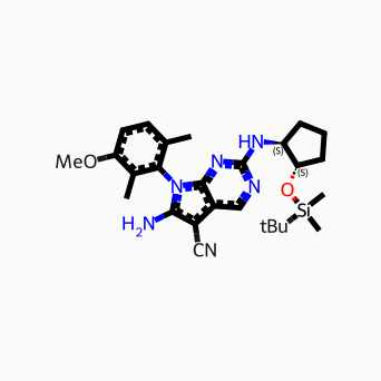 COc1ccc(C)c(-n2c(N)c(C#N)c3cnc(N[C@H]4CCC[C@@H]4O[Si](C)(C)C(C)(C)C)nc32)c1C